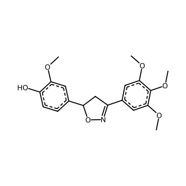 COc1cc(C2CC(c3cc(OC)c(OC)c(OC)c3)=NO2)ccc1O